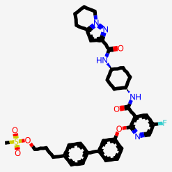 CS(=O)(=O)OCCCc1ccc(-c2cccc(Oc3ncc(F)cc3C(=O)N[C@H]3CC[C@H](NC(=O)c4cc5n(n4)CCCC5)CC3)c2)cc1